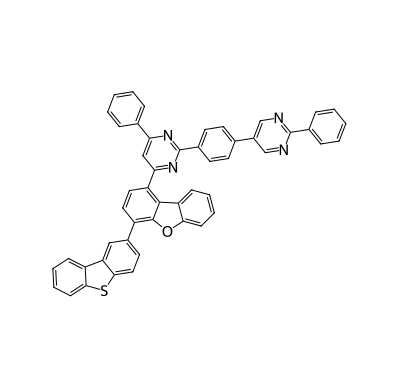 c1ccc(-c2cc(-c3ccc(-c4ccc5sc6ccccc6c5c4)c4oc5ccccc5c34)nc(-c3ccc(-c4cnc(-c5ccccc5)nc4)cc3)n2)cc1